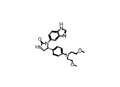 COCCN(CCOC)c1ccc([C@H]2CNC(=O)N2c2ccc3[nH]cnc3c2)cc1